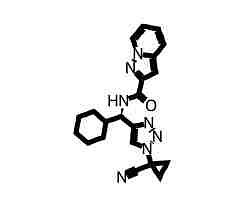 N#CC1(n2cc([C@@H](NC(=O)c3cc4ccccn4n3)C3CCCCC3)nn2)CC1